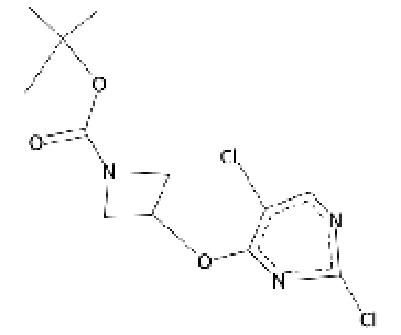 CC(C)(C)OC(=O)N1CC(Oc2nc(Cl)ncc2Cl)C1